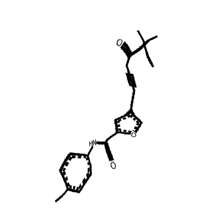 Cc1ccc(NC(=O)c2cc(C#CC(=O)C(C)(C)C)co2)cc1